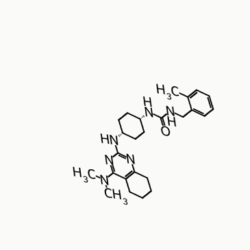 Cc1ccccc1CNC(=O)N[C@H]1CC[C@@H](Nc2nc3c(c(N(C)C)n2)CCCC3)CC1